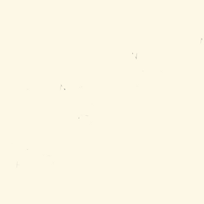 N#Cc1cccc(C(=O)Nc2cccc(C(=O)Nc3c(I)cc(C(F)(C(F)(F)F)C(F)(F)F)cc3C(F)(F)F)c2)c1